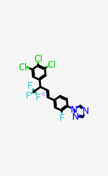 Fc1cc(/C=C/C(c2cc(Cl)c(Cl)c(Cl)c2)C(F)(F)F)ccc1-n1cncn1